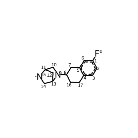 Fc1ccc2c(c1)CC(N1CC3CC1C[N]3)CC2